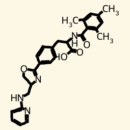 Cc1cc(C)c(C(=O)NC(Cc2ccc(C3=NC(CNc4ccccn4)CO3)cc2)C(=O)O)c(C)c1